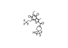 CCn1c(=O)c2c(C)c(C(=O)N3CCC(O)(C(F)(F)F)CC3)sc2n(CCC(F)(F)F)c1=O